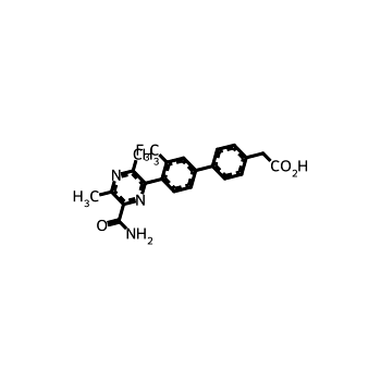 Cc1nc(C)c(-c2ccc(-c3ccc(CC(=O)O)cc3)cc2C(F)(F)F)nc1C(N)=O